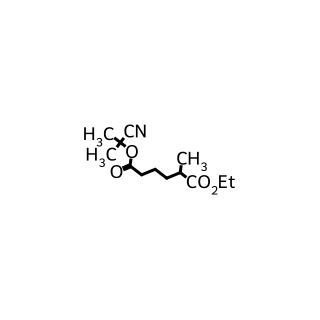 CCOC(=O)C(C)CCCC(=O)OC(C)(C)C#N